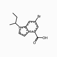 CCC(C)n1ccc2c(C(=O)O)cc(Br)cc21